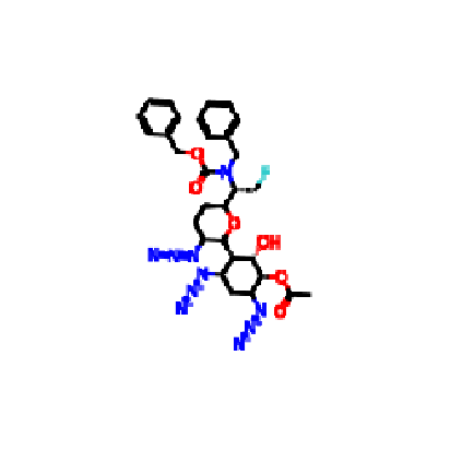 CC(=O)O[C@H]1C(N=[N+]=[N-])CC(N=[N+]=[N-])[C@@H](C2O[C@H]([C@@H](CF)N(Cc3ccccc3)C(=O)OCc3ccccc3)CCC2N=[N+]=[N-])[C@@H]1O